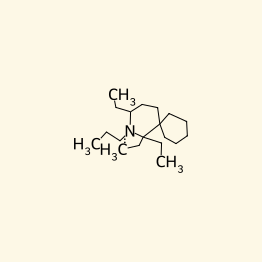 CC[C]N1C(CC)CCC2(CCCCC2)C1(CC)CC